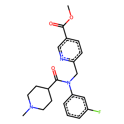 COC(=O)c1ccc(CN(C(=O)C2CCN(C)CC2)c2cccc(F)c2)nc1